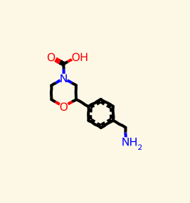 NCc1ccc(C2CN(C(=O)O)CCO2)cc1